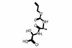 C=CCOC(=O)N[C@@H](C)C(=O)NC(O)C(=O)O